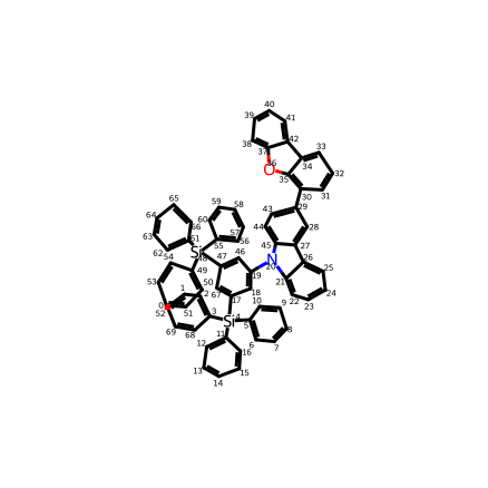 c1ccc([Si](c2ccccc2)(c2ccccc2)c2cc(-n3c4ccccc4c4cc(-c5cccc6c5oc5ccccc56)ccc43)cc([Si](c3ccccc3)(c3ccccc3)c3ccccc3)c2)cc1